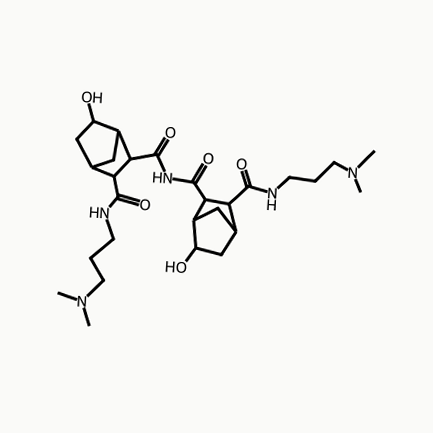 CN(C)CCCNC(=O)C1C2CC(O)C(C2)C1C(=O)NC(=O)C1C2CC(CC2O)C1C(=O)NCCCN(C)C